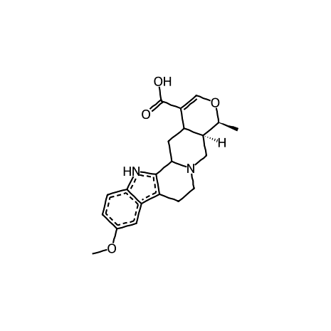 COc1ccc2[nH]c3c(c2c1)CCN1C[C@H]2C(CC31)C(C(=O)O)=CO[C@H]2C